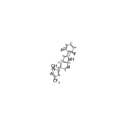 Cn1nc(C(F)(F)F)cc1-c1cnc2[nH]c(-c3c(F)cccc3F)cc2c1